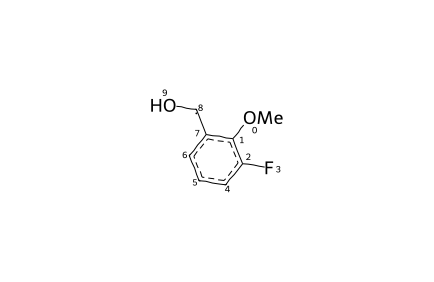 COc1c(F)cccc1[CH]O